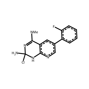 CNC1=NC(N)(Cl)Nc2ncc(-c3ccccc3F)cc21